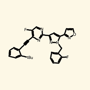 CC(C)(C)c1ccccc1C#Cc1nc(-c2cc(-c3ccon3)n(Cc3ccccc3F)n2)ncc1F